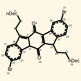 CCCCCCCCCCCCC1=C2C(=O)C3=C(C(=O)C2c2cc(Br)ccc21)C(CCCCCCCCCCCC)c1ccc(Br)cc13